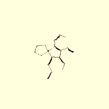 C=C/C=C1\C(=C/C)C(C=C)=C(/C=C\C)C12CCCC2